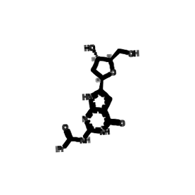 CC(C)C(=O)Nc1nc2[nH]c([C@H]3C[C@H](O)[C@@H](CO)O3)cc2c(=O)[nH]1